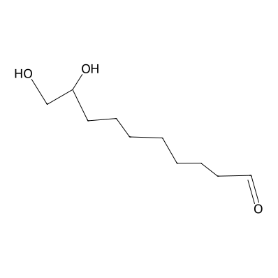 O=CCCCCCCCC(O)CO